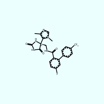 Cc1ncn(C)c1[C@@]1(CNC(=O)c2ccc(F)cc2-c2ccc(C(F)(F)F)cc2)NC(=O)NC1=O